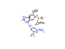 CCC(COC)Oc1cc2c(NCc3cc(C(F)(F)F)nc(N)n3)nc(C)nc2cc1OC